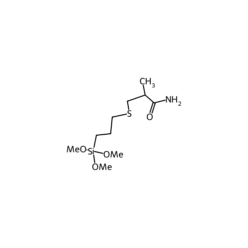 CO[Si](CCCSCC(C)C(N)=O)(OC)OC